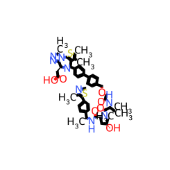 Cc1ncsc1-c1ccc([C@H](C)NC(=O)[C@@H]2C[C@@H](O)CN2C(=O)[C@@H](NC(=O)COCc2ccc(-c3ccc(C4=N[C@@H](CC(=O)O)c5nnc(C)n5-c5sc(C)c(C)c54)cc3)cc2)C(C)(C)C)cc1